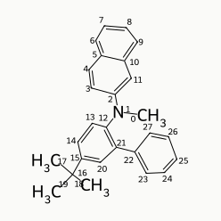 CN(c1ccc2ccccc2c1)c1ccc(C(C)(C)C)cc1-c1ccccc1